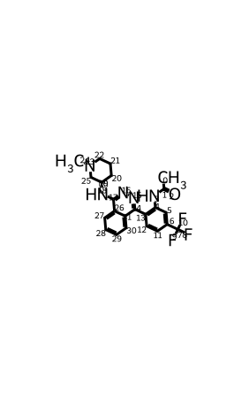 CC(=O)Nc1cc(C(F)(F)F)ccc1-c1nnc(N[C@@H]2CCCN(C)C2)c2ccccc12